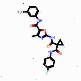 Cc1nc(NC(=O)C2(C(=O)Nc3ccc(F)cc3)CC2)oc1C(=O)Nc1cccc(C(F)(F)F)c1